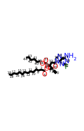 C#C[C@]1(COC(=O)CCCCCCCCCCCCC)O[C@@H](n2cnc3c(N)nc(F)nc32)C[C@@H]1OC(=O)OCCCCCC